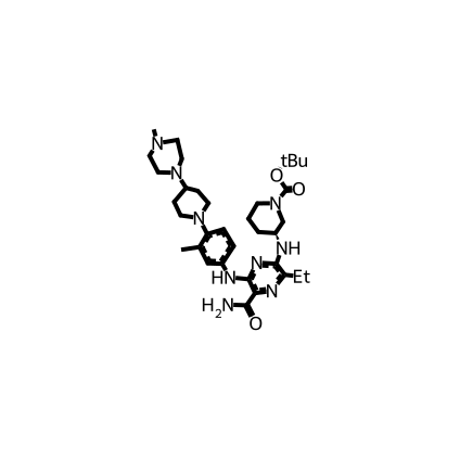 CCc1nc(C(N)=O)c(Nc2ccc(N3CCC(N4CCN(C)CC4)CC3)c(C)c2)nc1N[C@@H]1CCCN(C(=O)OC(C)(C)C)C1